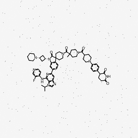 CC(C)n1cnc2cc(-c3ccc4c(c3)N([C@H]3C[C@@H](N5CCCCC5)C3)C(=O)C43CCN(C(=O)C4(C)CCN(C(=O)C5CCN(c6ccc(C7CCC(=O)NC7=O)cc6)CC5)CC4)CC3)nc(Nc3ccncc3F)c21